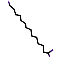 ICCCCCCCCCCCCCC(I)I